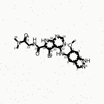 COc1cc2[nH]ncc2cc1Nc1ncnc2[nH]c(C(=O)NCC(=O)N(C)C)c(Br)c12